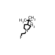 CC(C)(C)C1CCN(CCF)CC1